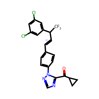 O=C(c1ncnn1-c1ccc(/C=C/C(c2cc(Cl)cc(Cl)c2)C(F)(F)F)cc1)C1CC1